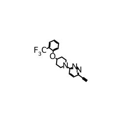 C#Cc1ccc(N2CCC(Oc3ccccc3C(F)(F)F)CC2)nn1